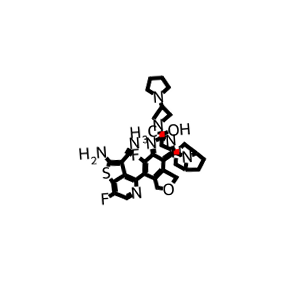 C[C@@H](O)CN1CC2CCC(C1)N2c1nc(N2CC(N3CCCC3)C2)nc2c(F)c(-c3ncc(F)c4sc(N)c(C#N)c34)c3c(c12)COC3